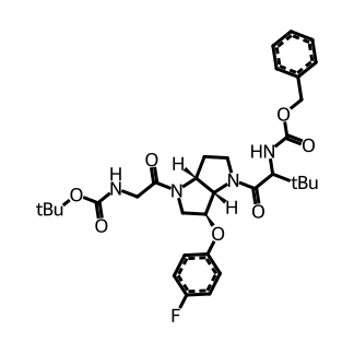 CC(C)(C)OC(=O)NCC(=O)N1C[C@H](Oc2ccc(F)cc2)[C@@H]2[C@H]1CCN2C(=O)C(NC(=O)OCc1ccccc1)C(C)(C)C